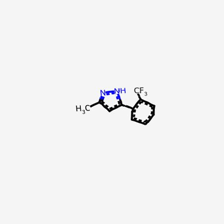 Cc1cc(-c2ccccc2C(F)(F)F)[nH]n1